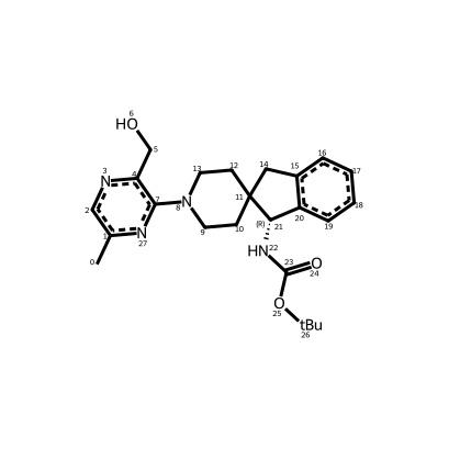 Cc1cnc(CO)c(N2CCC3(CC2)Cc2ccccc2[C@@H]3NC(=O)OC(C)(C)C)n1